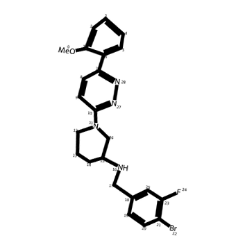 COc1ccccc1-c1ccc(N2CCCC(NCc3ccc(Br)c(F)c3)C2)nn1